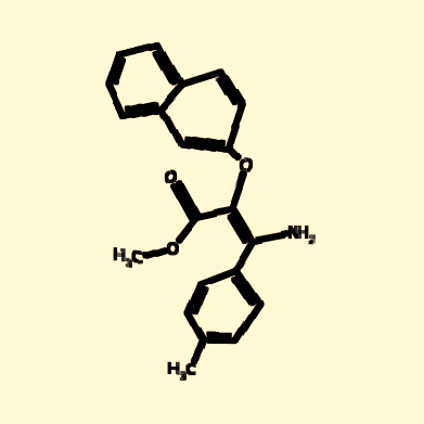 COC(=O)C(Oc1ccc2ccccc2c1)=C(N)c1ccc(C)cc1